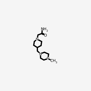 CN1CCN(CC2CCN(CC(N)=O)CC2)CC1